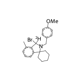 [2H]C1(Br)c2c(C)cccc2C2(CCCCC2)N1Cc1ccc(OC)cc1